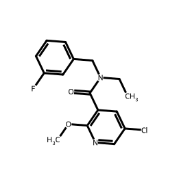 CCN(Cc1cccc(F)c1)C(=O)c1cc(Cl)cnc1OC